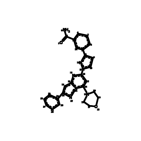 NC(=O)c1cccc(-c2ccn(-c3cc(N4CCOCC4)n4nc(-c5cccnc5)cc4n3)n2)c1